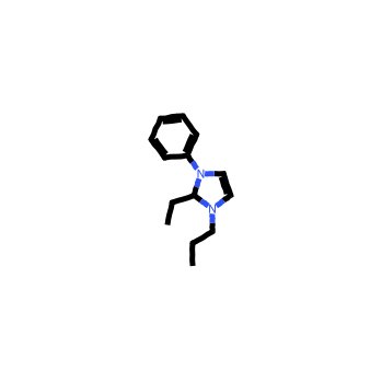 CCCN1C=CN(c2ccccc2)C1CC